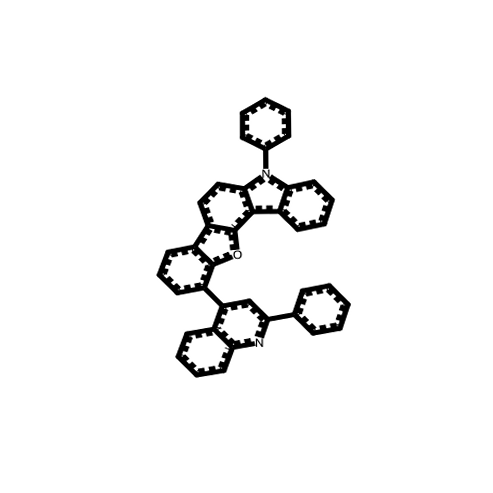 c1ccc(-c2cc(-c3cccc4c3oc3c4ccc4c3c3ccccc3n4-c3ccccc3)c3ccccc3n2)cc1